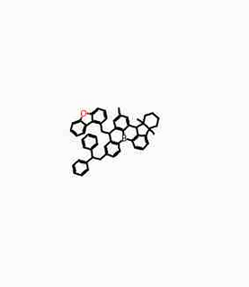 Cc1cc2c3c(c1)C1c4c(cccc4C4(C)CCCCC14C)B3c1ccc(CC(c3ccccc3)c3ccccc3)cc1C2Cc1cccc2oc3ccccc3c12